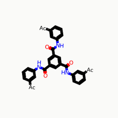 CC(=O)c1cccc(NC(=O)c2cc(C(=O)Nc3cccc(C(C)=O)c3)cc(C(=O)Nc3cccc(C(C)=O)c3)c2)c1